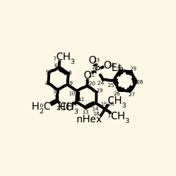 C=C(C)C1CCC(C)=CC1C1=C(O)C=C(C(C)(C)CCCCCC)CC1OP(=O)(Cc1ccccc1)OCC